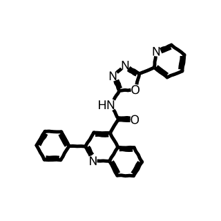 O=C(Nc1nnc(-c2ccccn2)o1)c1cc(-c2ccccc2)nc2ccccc12